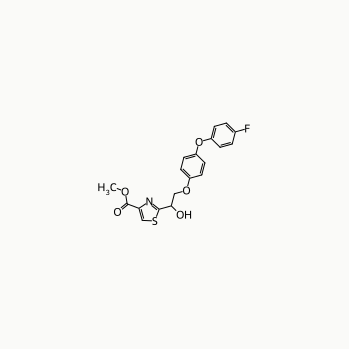 COC(=O)c1csc(C(O)COc2ccc(Oc3ccc(F)cc3)cc2)n1